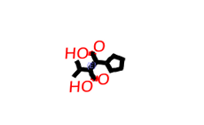 CC(C)/C(C(=O)O)=C(\C(=O)O)C1CCCC1